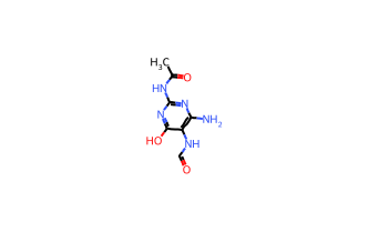 CC(=O)Nc1nc(N)c(NC=O)c(O)n1